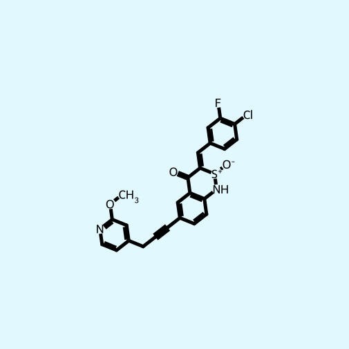 COc1cc(CC#Cc2ccc3c(c2)C(=O)/C(=C/c2ccc(Cl)c(F)c2)[S+]([O-])N3)ccn1